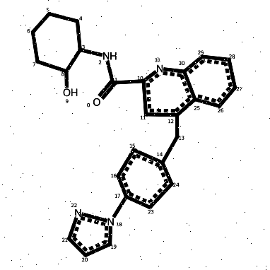 O=C(NC1CCCCC1O)c1cc(Cc2ccc(-n3cccn3)cc2)c2ccccc2n1